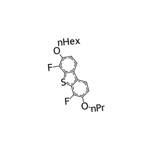 CCCCCCOc1ccc2c(sc3c(F)c(OCCC)ccc32)c1F